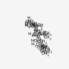 CCN[C@H]1CO[C@@H](O[C@H]2[C@H](O[C@H]3C#C/C=C\C#C[C@]4(O)CC(=O)C(NC(=O)OC)=C3/C4=C\CSSC(C)(C)C3NC(=O)NC3=O)O[C@H](C)[C@@H](NO[C@H]3C[C@H](O)[C@H](SC(=O)c4c(C)c(I)c(O[C@@H]5O[C@@H](C)[C@H](O)[C@@H](OC)[C@H]5O)c(OC)c4OC)[C@@H](C)O3)[C@@H]2O)C[C@@H]1OC